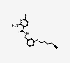 C#CCCCCOc1cccc(CNC(=O)c2ccc(F)nc2N)c1